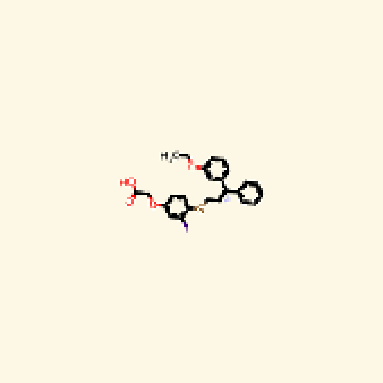 CCOc1cccc(/C(=C\CSc2ccc(OCC(=O)O)cc2I)c2ccccc2)c1